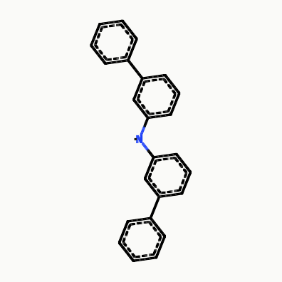 c1ccc(-c2cccc([N]c3cccc(-c4ccccc4)c3)c2)cc1